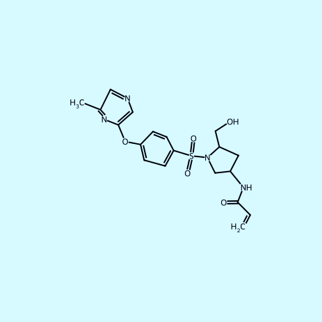 C=CC(=O)NC1CC(CO)N(S(=O)(=O)c2ccc(Oc3cncc(C)n3)cc2)C1